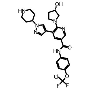 O=C(Nc1ccc(OC(F)(F)Cl)cc1)c1cnc(N2CC[C@@H](O)C2)c(-c2cnn(C3CCNCC3)c2)c1